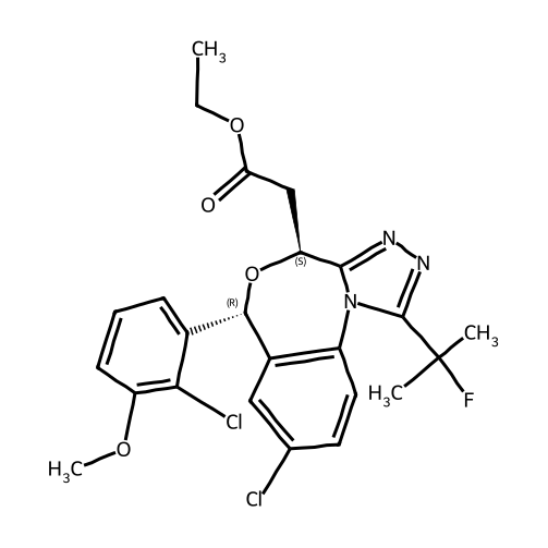 CCOC(=O)C[C@@H]1O[C@@H](c2cccc(OC)c2Cl)c2cc(Cl)ccc2-n2c1nnc2C(C)(C)F